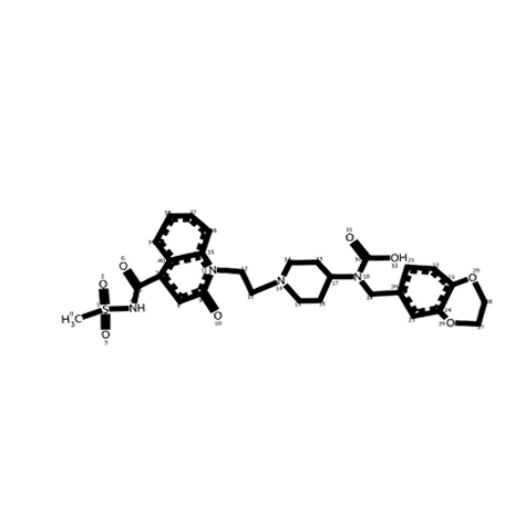 CS(=O)(=O)NC(=O)c1cc(=O)n(CCN2CCC(N(Cc3ccc4c(c3)OCCO4)C(=O)O)CC2)c2ccccc12